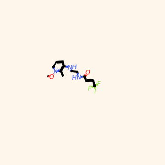 CO[n+]1cccc(NCCNC(=O)/C=C/C(F)(F)F)c1C